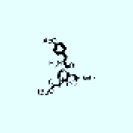 COC(=O)C[C@H]1C(=O)N(CC(=O)OC(C)(C)C)CCN1C(=O)[C@@H](N)Cc1ccc(OC(C)=O)cc1